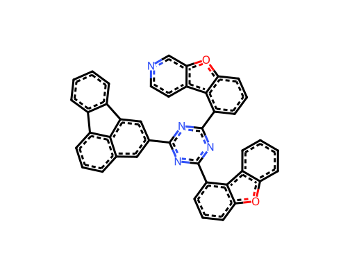 c1ccc2c(c1)-c1cccc3cc(-c4nc(-c5cccc6oc7ccccc7c56)nc(-c5cccc6oc7cnccc7c56)n4)cc-2c13